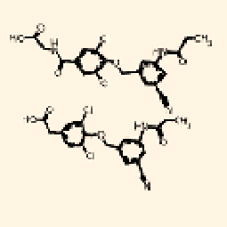 CCC(=O)Nc1cc(C#N)cc(COc2c(Cl)cc(C(=O)NCC(=O)O)cc2Cl)c1.CCC(=O)Nc1cc(C#N)cc(COc2c(Cl)cc(CC(=O)O)cc2Cl)c1